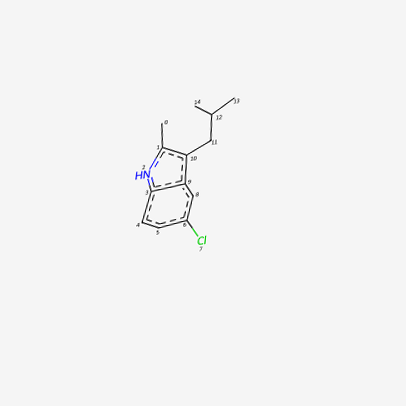 Cc1[nH]c2ccc(Cl)cc2c1CC(C)C